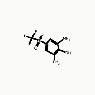 Cc1cc(S(=O)(=O)C(F)(F)F)cc(N)c1O